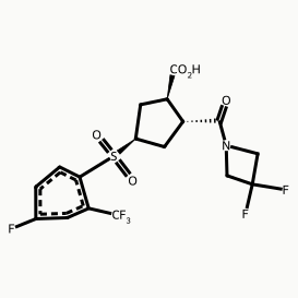 O=C(O)[C@@H]1C[C@H](S(=O)(=O)c2ccc(F)cc2C(F)(F)F)C[C@H]1C(=O)N1CC(F)(F)C1